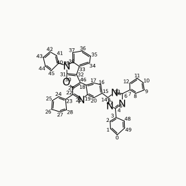 c1ccc(-c2nc(-c3ccccc3)nc(-c3ccc4c(c3)nc(-c3ccccc3)c3oc5c(c6ccccc6n5-c5ccccc5)c34)n2)cc1